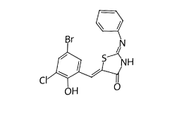 O=C1NC(=Nc2ccccc2)SC1=Cc1cc(Br)cc(Cl)c1O